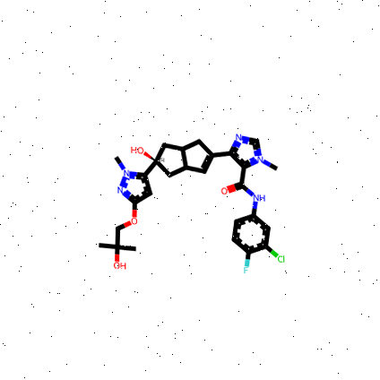 Cn1cnc(C2=CC3C[C@](O)(c4cc(OCC(C)(C)O)nn4C)CC3C2)c1C(=O)Nc1ccc(F)c(Cl)c1